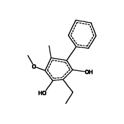 CCc1c(O)c(OC)c(C)c(-c2ccccc2)c1O